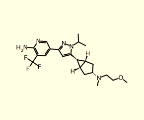 COCCN(C)[C@H]1C[C@@H]2[C@H](C1)[C@H]2c1cc(-c2cnc(N)c(C(F)(F)F)c2)nn1C(C)C